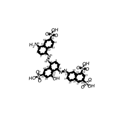 Nc1ccc(N=Nc2ccc(N=Nc3ccc4cc(S(=O)(=O)O)cc(S(=O)(=O)O)c4c3)c3c(O)cc(S(=O)(=O)O)cc23)c2ccc(S(=O)(=O)O)cc12